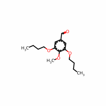 CCCCOc1cc(C=O)cc(OCCCC)c1OC